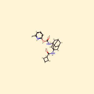 Cc1cccc(OC(=O)NC23CC4CC(C2)CC(NC(=O)C2CCC2)(C4)C3)n1